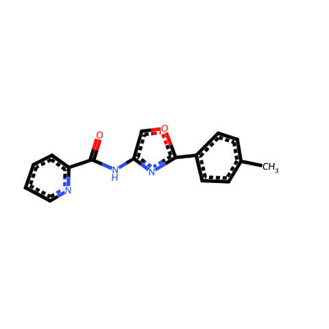 Cc1ccc(-c2nc(NC(=O)c3ccccn3)co2)cc1